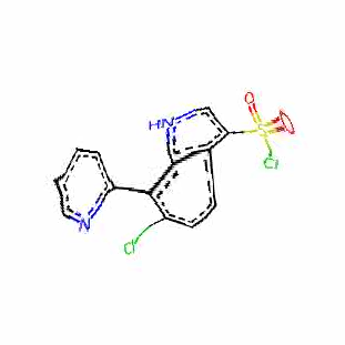 O=S(=O)(Cl)c1c[nH]c2c(-c3ccccn3)c(Cl)ccc12